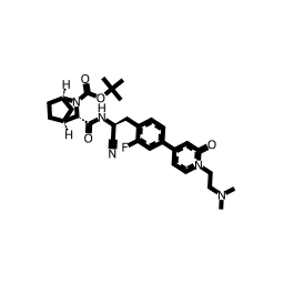 CN(C)CCn1ccc(-c2ccc(C[C@@H](C#N)NC(=O)[C@@H]3[C@H]4CC[C@H](C4)N3C(=O)OC(C)(C)C)c(F)c2)cc1=O